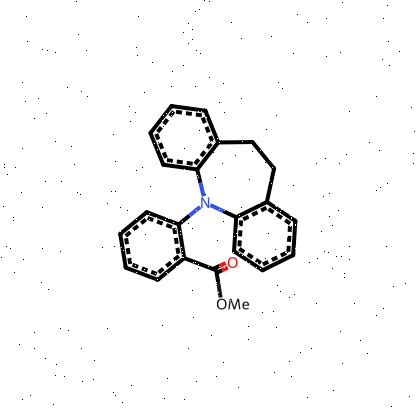 COC(=O)c1ccccc1N1c2ccccc2CCc2ccccc21